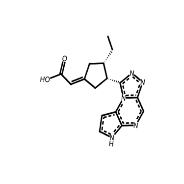 CC[C@H]1CC(=CC(=O)O)C[C@H]1c1nnc2cnc3[nH]ccc3n12